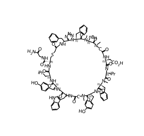 CCCC[C@H]1C(=O)N(C)CC(=O)N[C@@H](CC(=O)O)C(=O)N[C@@H](C(C)C)C(=O)N(C)[C@@H](Cc2ccccc2)C(=O)N[C@@H](Cc2ccc(O)cc2)C(=O)N(C)CC(=O)NC(Cc2c[nH]c3ccccc23)C(=O)N[C@@H](Cc2ccc(O)cc2)C(=O)N[C@@H](CC(C)C)C(=O)N[C@H](C(=O)NCC(N)=O)CSCC(=O)NC(Cc2ccccc2)c2nnnn2[C@@H](Cc2ccccc2)C(=O)N1C